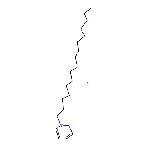 CCCCCCCCCCCCCCCC[n+]1ccccc1.[F-]